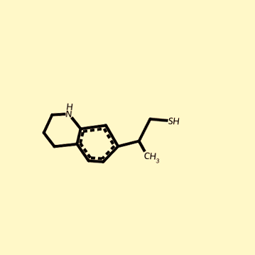 CC(CS)c1ccc2c(c1)NCCC2